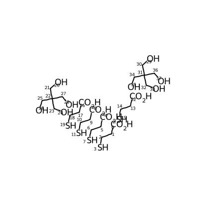 O=C(O)CCS.O=C(O)CCS.O=C(O)CCS.O=C(O)CCS.O=C(O)CCS.OCC(CO)(CO)CO.OCC(CO)(CO)CO